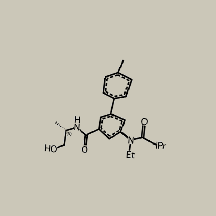 CCN(C(=O)C(C)C)c1cc(C(=O)N[C@@H](C)CO)cc(-c2ccc(C)cc2)c1